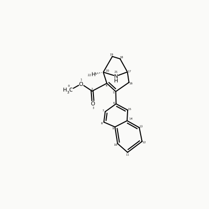 COC(=O)C1=C(c2ccc3ccccc3c2)CC2CC[C@H]1N2